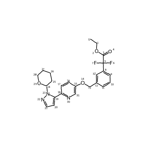 CCOC(=O)C(F)(F)c1cccc(COc2ccc(-c3ccnn3C3CCCCO3)nc2)c1